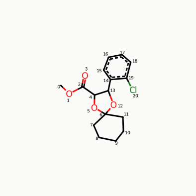 COC(=O)C1OC2(CCCCC2)OC1c1ccccc1Cl